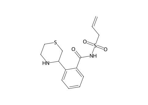 C=CCS(=O)(=O)NC(=O)c1ccccc1C1CSCCN1